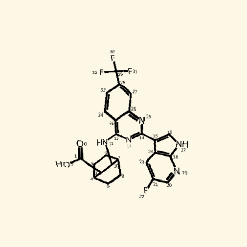 O=C(O)C1C2CCC(CC2)C1Nc1nc(-c2c[nH]c3ncc(F)cc23)nc2cc(C(F)(F)F)ccc12